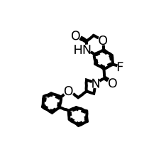 O=C1COc2cc(F)c(C(=O)N3CC(COc4ccccc4-c4ccccc4)C3)cc2N1